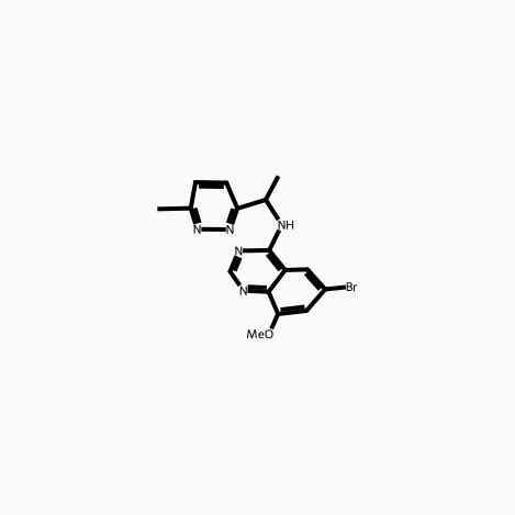 COc1cc(Br)cc2c(NC(C)c3ccc(C)nn3)ncnc12